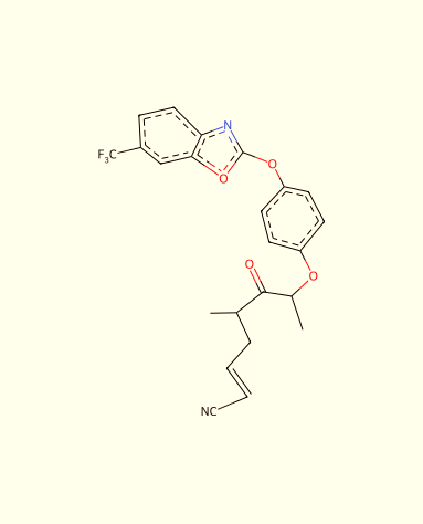 CC(CC=CC#N)C(=O)C(C)Oc1ccc(Oc2nc3ccc(C(F)(F)F)cc3o2)cc1